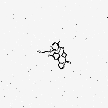 N#CCCNc1ncc(F)c(OC2CN(C(=O)N3N=CCC3c3cc(F)cc(F)c3)C2)n1